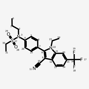 CCCN(c1ccc(-c2c(C#N)c3ccc(C(F)(F)F)cc3n2CC)cc1)S(=O)(=O)CC